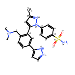 CN(C)Cc1ccc(-c2ccn[nH]2)cc1-c1cc(C(F)(F)F)nn1-c1ccc(S(N)(=O)=O)cc1